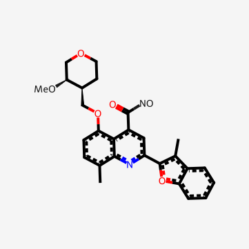 CO[C@H]1COCC[C@H]1COc1ccc(C)c2nc(-c3oc4ccccc4c3C)cc(C(=O)N=O)c12